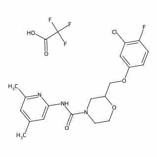 Cc1cc(C)nc(NC(=O)N2CCOC(COc3ccc(F)c(Cl)c3)C2)c1.O=C(O)C(F)(F)F